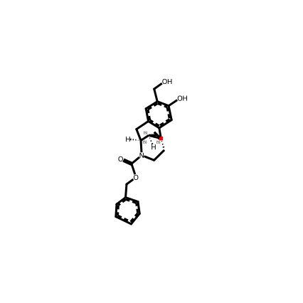 O=C(OCc1ccccc1)N1CC[C@@]23CCCC[C@@H]2[C@@H]1Cc1cc(CO)c(O)cc13